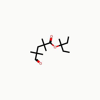 CCC(C)(CC)OC(=O)C(C)(C)CC(C)(C)C=O